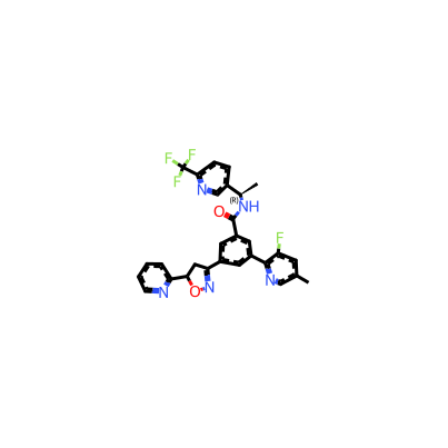 Cc1cnc(-c2cc(C(=O)N[C@H](C)c3ccc(C(F)(F)F)nc3)cc(C3=NOC(c4ccccn4)C3)c2)c(F)c1